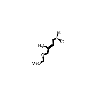 CCN(CC)C/C=C(\C)COCOC